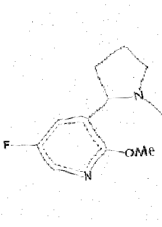 COc1ncc(F)cc1C1CCCN1C